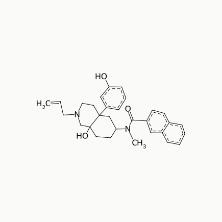 C=CCN1CCC2(c3cccc(O)c3)CC(N(C)C(=O)c3ccc4ccccc4c3)CCC2(O)C1